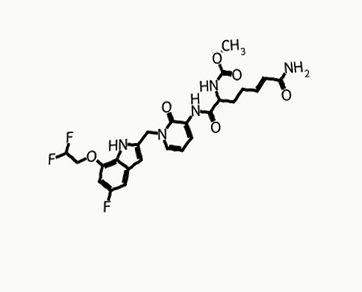 COC(=O)NC(CCC=CC(N)=O)C(=O)Nc1cccn(Cc2cc3cc(F)cc(OCC(F)F)c3[nH]2)c1=O